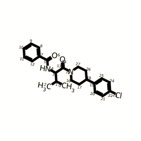 CC(C)C(NC(=O)c1ccccc1)C(=O)N1CCC(c2ccc(Cl)cc2)CC1